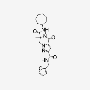 CN1C(=O)c2cc(C(=O)NCc3ccco3)nn2CC1(C)C(=O)NC1CCCCCC1